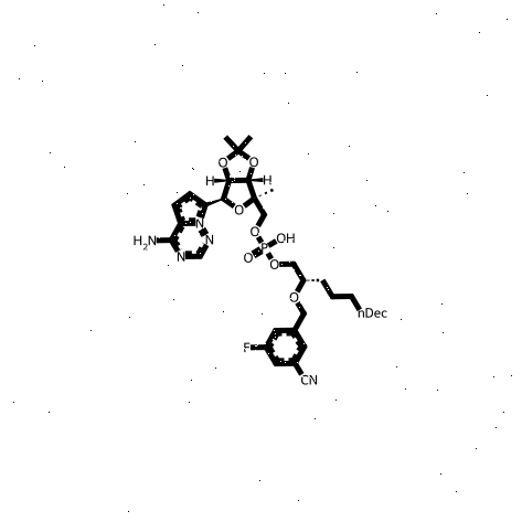 CCCCCCCCCCCCC[C@@H](COP(=O)(O)OC[C@@]1(C)O[C@@H](c2ccc3c(N)ncnn23)[C@@H]2OC(C)(C)O[C@@H]21)OCc1cc(F)cc(C#N)c1